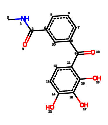 CNC(=O)c1cccc(C(=O)c2ccc(O)c(O)c2O)c1